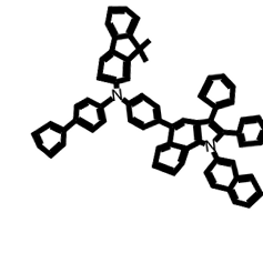 CC1(C)c2ccccc2-c2ccc(N(c3ccc(-c4ccccc4)cc3)c3ccc(-c4cc5c(-c6ccccc6)c(-c6ccccc6)n(-c6ccc7ccccc7c6)c5c5ccccc45)cc3)cc21